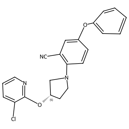 N#Cc1cc(Oc2ccccc2)ccc1N1CC[C@H](Oc2ncccc2Cl)C1